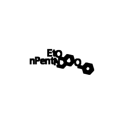 CCCCCN1CCC2CC(OCc3ccccc3)=CC=C2C1OCC